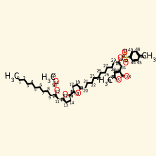 CCCCCCCCCC[C@H](C[C@H]1CC[C@H]([C@H]2CC[C@H](CCCCCCCCCC[C@@H](CC3=C[C@@H](C)OC3=O)OS(=O)(=O)c3ccc(C)cc3)O2)O1)OCOC